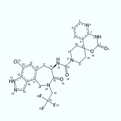 O=C1Nc2ncccc2C2(CCN(C(=O)N[C@@H]3Cc4cc(Cl)c5[nH]ncc5c4CN(CC(F)(F)F)C3=O)CC2)O1